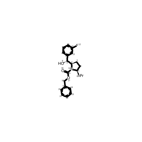 CCC[C@@H]1CC[C@H]([C@H](O)c2cccc(F)c2)N1C(=O)OCc1ccccc1